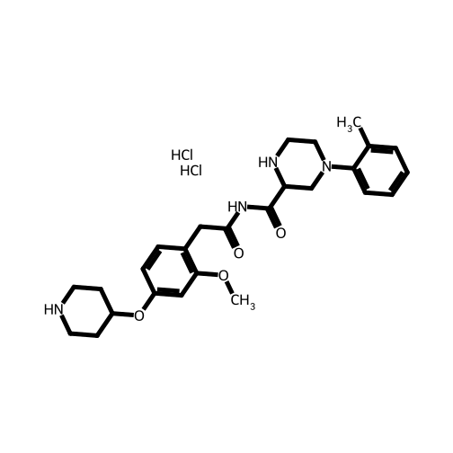 COc1cc(OC2CCNCC2)ccc1CC(=O)NC(=O)C1CN(c2ccccc2C)CCN1.Cl.Cl